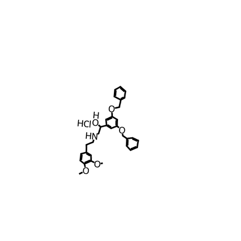 COc1ccc(CCNCC(O)c2cc(OCc3ccccc3)cc(OCc3ccccc3)c2)cc1OC.Cl